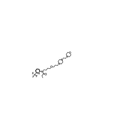 CCC(=O)N(CCCCOCCCN1CCN(CCN2CCOCC2)CC1)c1cccc(C(F)(F)F)n1